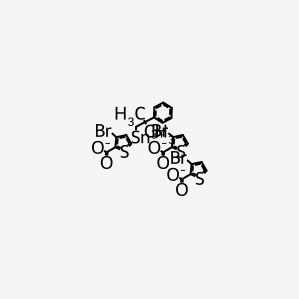 CC(C)([CH2][Sn+3])c1ccccc1.O=C([O-])c1sccc1Br.O=C([O-])c1sccc1Br.O=C([O-])c1sccc1Br